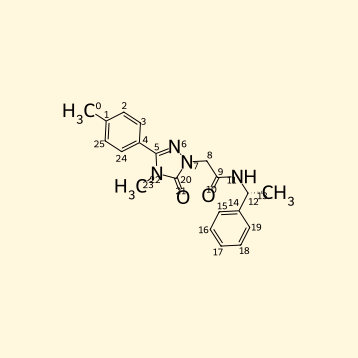 Cc1ccc(-c2nn(CC(=O)N[C@H](C)c3ccccc3)c(=O)n2C)cc1